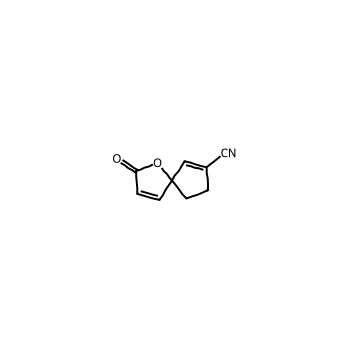 N#CC1=CC2(C=CC(=O)O2)CC1